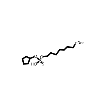 CCCCCCCCCCCCCCCCCOP(O)(=S)OC1CCCC1